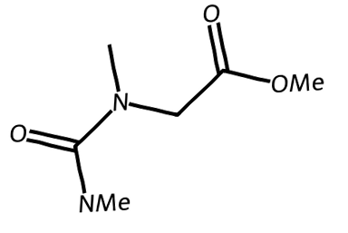 CNC(=O)N(C)CC(=O)OC